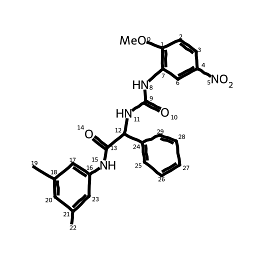 COc1ccc([N+](=O)[O-])cc1NC(=O)NC(C(=O)Nc1cc(C)cc(C)c1)c1ccccc1